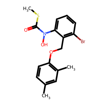 CSC(=O)N(O)c1cccc(Br)c1COc1ccc(C)cc1C